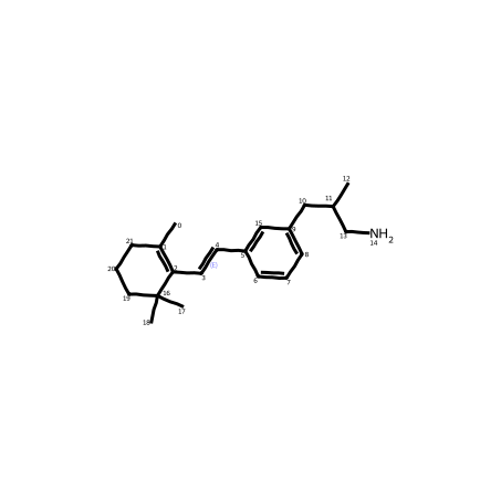 CC1=C(/C=C/c2cccc(CC(C)CN)c2)C(C)(C)CCC1